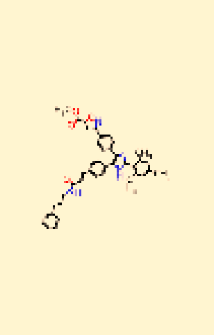 COC(=O)C1CC(c2ccc(-c3nc(-c4c(C)cc(C)cc4C)[nH]c3-c3ccc(/C=C/C(=O)NCCCc4ccccc4)cc3)cc2)=NO1